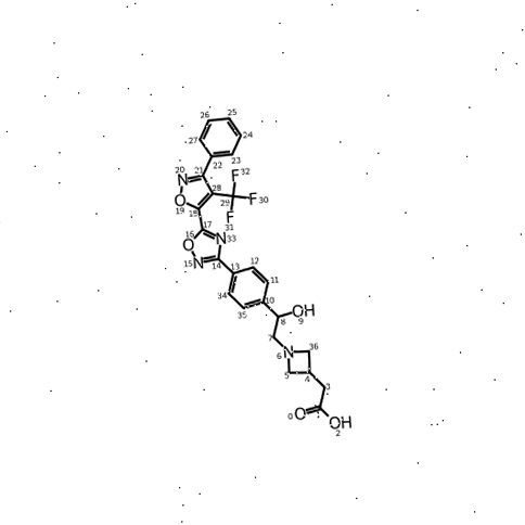 O=C(O)CC1CN(CC(O)c2ccc(-c3noc(-c4onc(-c5ccccc5)c4C(F)(F)F)n3)cc2)C1